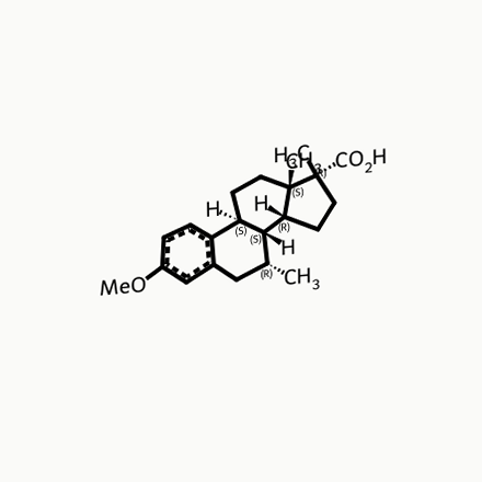 COc1ccc2c(c1)C[C@@H](C)[C@@H]1[C@@H]2CC[C@@]2(C)[C@@H]1CC[C@@]2(C)C(=O)O